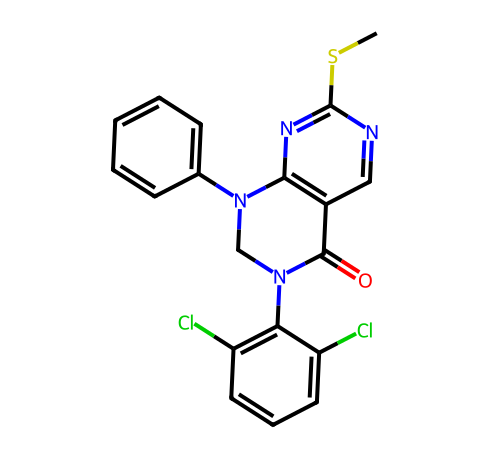 CSc1ncc2c(n1)N(c1ccccc1)CN(c1c(Cl)cccc1Cl)C2=O